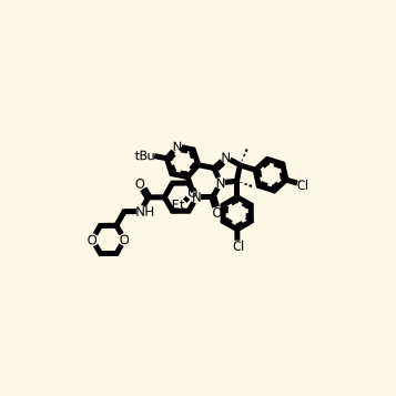 CCOc1cc(C(C)(C)C)ncc1C1=N[C@@](C)(c2ccc(Cl)cc2)[C@@](C)(c2ccc(Cl)cc2)N1C(=O)N1CCC(C(=O)NCC2COCCO2)CC1